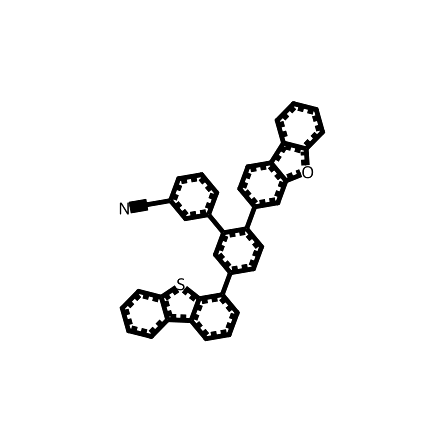 N#Cc1cccc(-c2cc(-c3cccc4c3sc3ccccc34)ccc2-c2ccc3c(c2)oc2ccccc23)c1